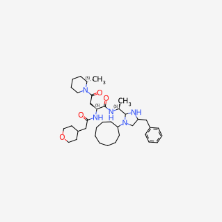 C[C@H](NC(=O)[C@H](CC(=O)N1CCCC[C@@H]1C)NC(=O)CC1CCOCC1)C1NC(Cc2ccccc2)CN1C1CCCCCCCC1